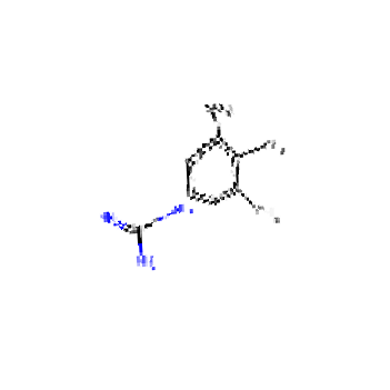 Cc1cccc(S(=O)(=O)O)c1C.N=C(N)N